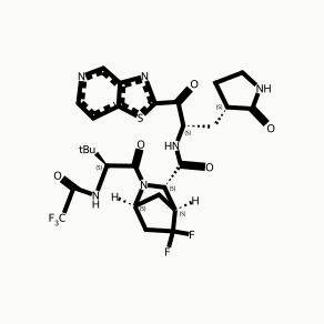 CC(C)(C)[C@H](NC(=O)C(F)(F)F)C(=O)N1[C@H]2C[C@@H]([C@H]1C(=O)N[C@@H](C[C@@H]1CCNC1=O)C(=O)c1nc3cnccc3s1)C(F)(F)C2